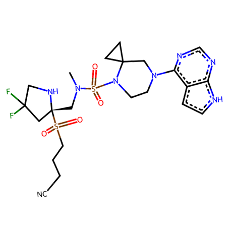 CN(C[C@@]1(S(=O)(=O)CCCC#N)CC(F)(F)CN1)S(=O)(=O)N1CCN(c2ncnc3[nH]ccc23)CC12CC2